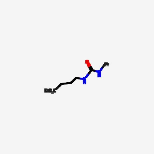 CCOC(=O)CCCNC(=O)NC(C)C